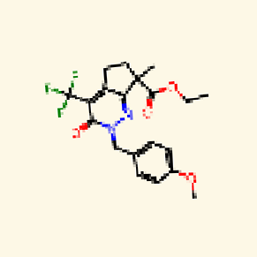 CCOC(=O)C1(C)CCc2c1nn(Cc1ccc(OC)cc1)c(=O)c2C(F)(F)F